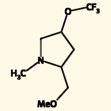 COCC1CC(OC(F)(F)F)CN1C